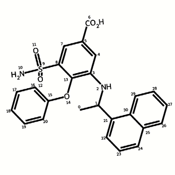 CC(Nc1cc(C(=O)O)cc(S(N)(=O)=O)c1Oc1ccccc1)c1cccc2ccccc12